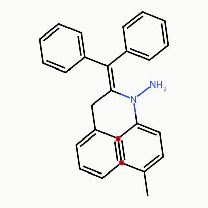 Cc1ccc(N(N)C(Cc2ccccc2)=C(c2ccccc2)c2ccccc2)cc1